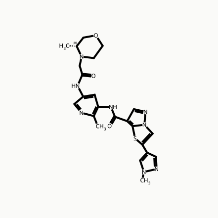 Cc1ncc(NC(=O)CN2CCOC[C@H]2C)cc1NC(=O)c1cnn2cc(-c3cnn(C)c3)sc12